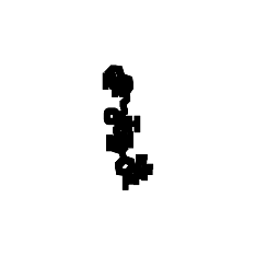 O=C(CCCc1ccc2cccnc2n1)NCc1ncc(-c2ccc(F)c(C(F)(F)F)c2)cn1